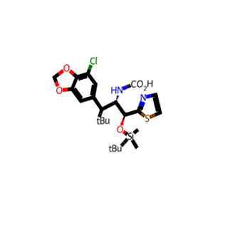 CC(C)(C)C(c1cc(Cl)c2c(c1)OCO2)[C@H](NC(=O)O)[C@H](O[Si](C)(C)C(C)(C)C)c1nccs1